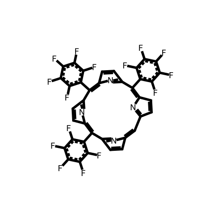 Fc1c(F)c(F)c(C2=C3C=CC(=N3)C=C3C=CC(=N3)C(c3c(F)c(F)c(F)c(F)c3F)=C3C=CC(=N3)C(c3c(F)c(F)c(F)c(F)c3F)=C3C=CC2=N3)c(F)c1F